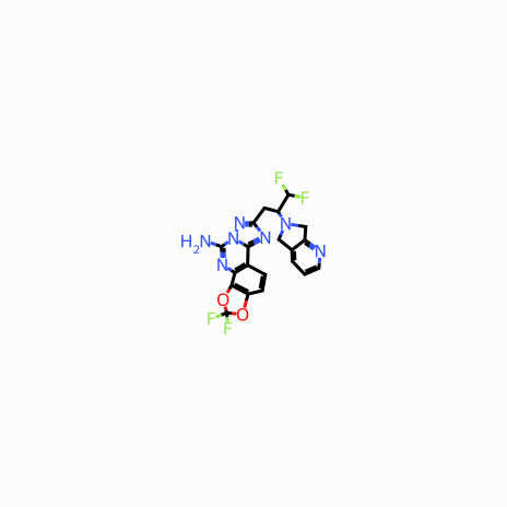 Nc1nc2c3c(ccc2c2nc(CC(C(F)F)N4Cc5cccnc5C4)nn12)OC(F)(F)O3